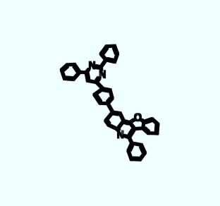 c1ccc(-c2cc(-c3ccc(-c4ccc5nc(-c6ccccc6)c6c7ccccc7oc6c5c4)cc3)nc(-c3ccccc3)n2)cc1